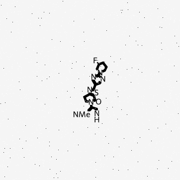 CN/C=C(\C=N)N1CCc2nc(-c3cnc(N4CCC[C@H](F)C4)nc3)sc2C1=O